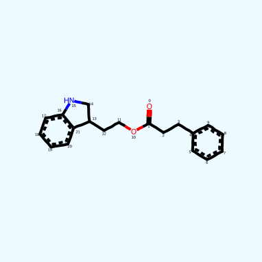 O=C(CCc1ccccc1)OCCC1CNc2ccccc21